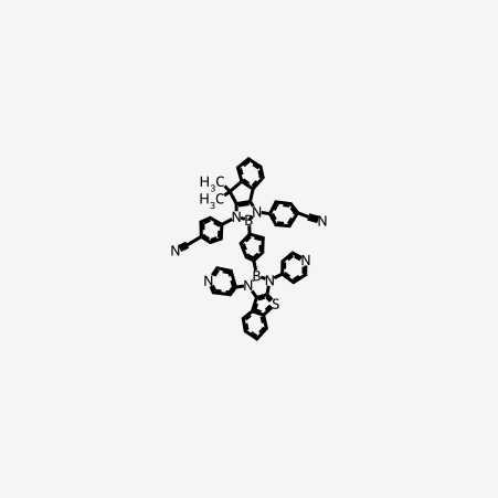 CC1(C)C2=C(c3ccccc31)N(c1ccc(C#N)cc1)B(c1ccc(B3N(c4ccncc4)c4sc5ccccc5c4N3c3ccncc3)cc1)N2c1ccc(C#N)cc1